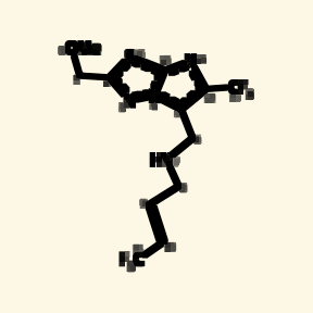 COCc1nn2c(CNC/C=C/C(F)(F)F)c(C(F)(F)F)nc2s1